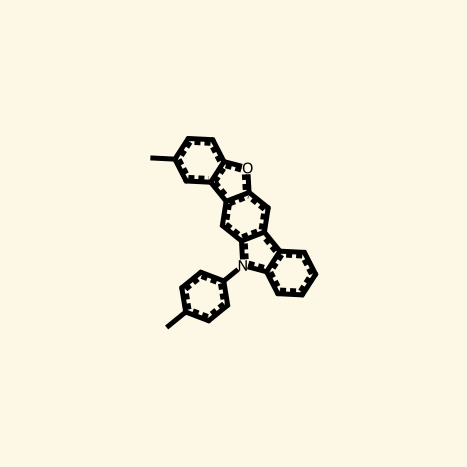 Cc1ccc(-n2c3ccccc3c3cc4oc5ccc(C)cc5c4cc32)cc1